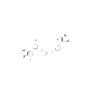 CN1CN([C@@H]2O[C@H](C=S)[C@@H](O)[C@H]2OP(=O)(O)OP(=O)(S)OC[C@H]2O[C@@H](n3cnc4c(=O)[nH]c(N)nc43)[C@H](O)[C@@H]2O)c2nc(N)[nH]c(=O)c21